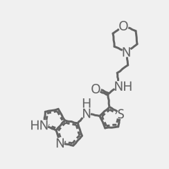 O=C(NCCN1CCOCC1)c1sccc1Nc1ccnc2[nH]ccc12